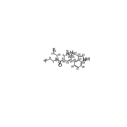 CN1C[C@H](C(=O)N(CCF)CCF)C=C2c3cccc4[nH]cc(c34)C[C@H]21